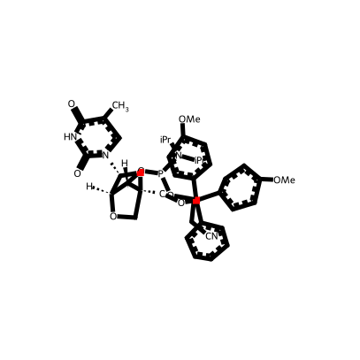 COc1ccc(C(OC[C@@]23CO[C@@H]([C@H](n4cc(C)c(=O)[nH]c4=O)O2)[C@@H]3OP(OCCC#N)N(C(C)C)C(C)C)(c2ccccc2)c2ccc(OC)cc2)cc1